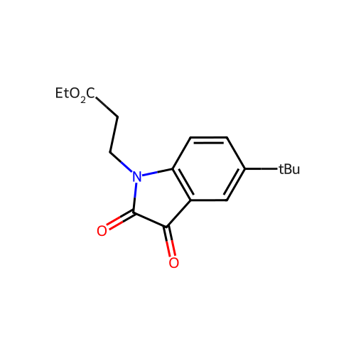 CCOC(=O)CCN1C(=O)C(=O)c2cc(C(C)(C)C)ccc21